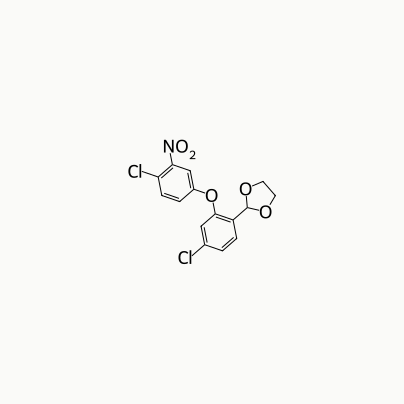 O=[N+]([O-])c1cc(Oc2cc(Cl)ccc2C2OCCO2)ccc1Cl